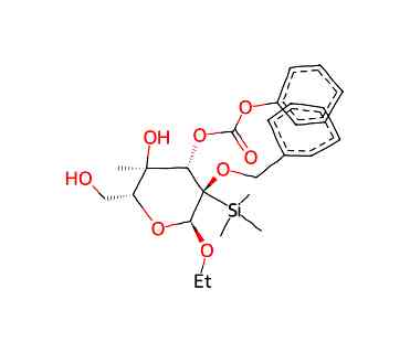 CCO[C@H]1O[C@H](CO)[C@@](C)(O)[C@H](OC(=O)Oc2ccccc2)[C@]1(OCc1ccccc1)[Si](C)(C)C